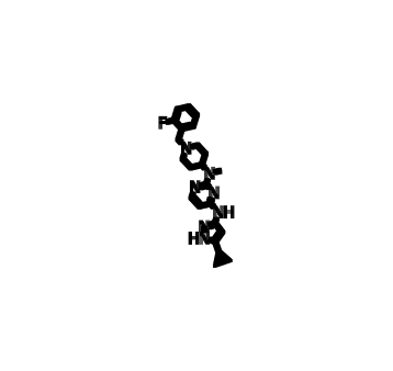 CN(c1nccc(Nc2cc(C3CC3)[nH]n2)n1)C1CCN(Cc2ccccc2F)CC1